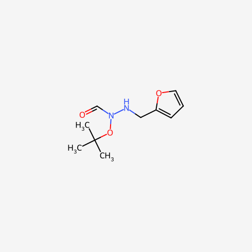 CC(C)(C)ON(C=O)NCc1ccco1